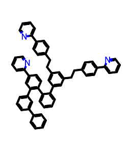 c1ccc(-c2cccc(-c3cc(-c4ccccn4)ccc3-c3ccccc3-c3cc(CCc4ccc(-c5ccccn5)cc4)cc(CCc4ccc(-c5ccccn5)cc4)c3)c2)cc1